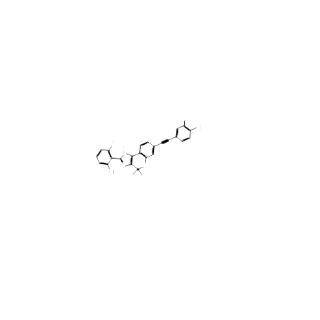 CC1(C)Oc2cc(C#Cc3ccc(Cl)c(Cl)c3)ccc2-c2[nH]c(-c3c(F)cccc3Cl)nc21